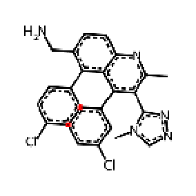 Cc1nc2ccc(CN)c(-c3ccc(Cl)cc3)c2c(-c2cccc(Cl)c2)c1-c1nncn1C